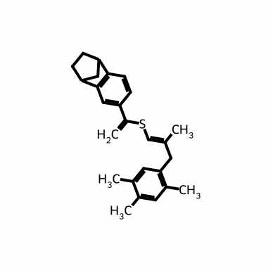 C=C(S/C=C(\C)Cc1cc(C)c(C)cc1C)c1ccc2c(c1)C1CCC2C1